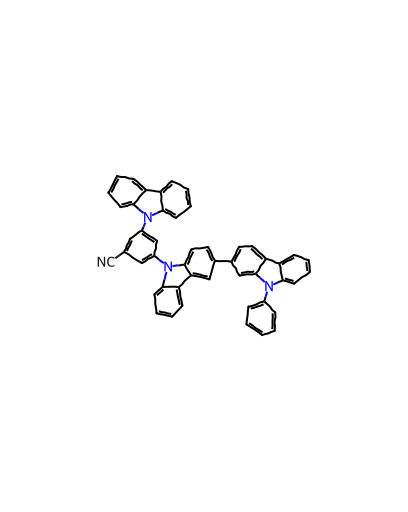 N#Cc1cc(-n2c3ccccc3c3ccccc32)cc(-n2c3ccccc3c3cc(-c4ccc5c6ccccc6n(-c6ccccc6)c5c4)ccc32)c1